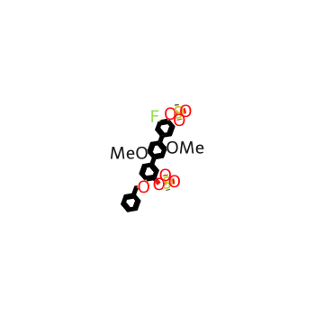 COc1cc(-c2ccc(OCc3ccccc3)c(OS(C)(=O)=O)c2)c(OC)cc1-c1ccc(OS(C)(=O)=O)c(F)c1